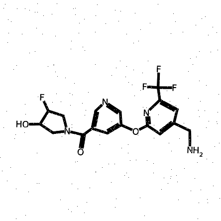 NCc1cc(Oc2cncc(C(=O)N3CC(O)C(F)C3)c2)nc(C(F)(F)F)c1